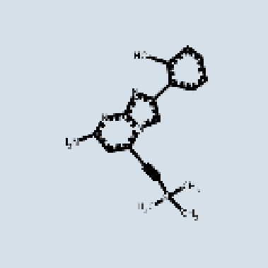 C[Si](C)(C)C#Cc1cc(N)nc2nc(-c3ccccc3O)cn12